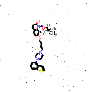 CCCCC(C)(C)C(=O)OCn1c(=O)ccc2ccc(OCCCCN3CCN(c4cccc5sccc45)CC3)cc21